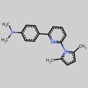 Cc1ccc(C)n1-c1cccc(-c2ccc(N(C)C)cc2)n1